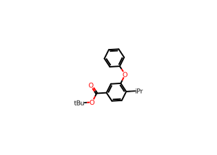 CC(C)c1ccc(C(=O)OC(C)(C)C)cc1Oc1ccccc1